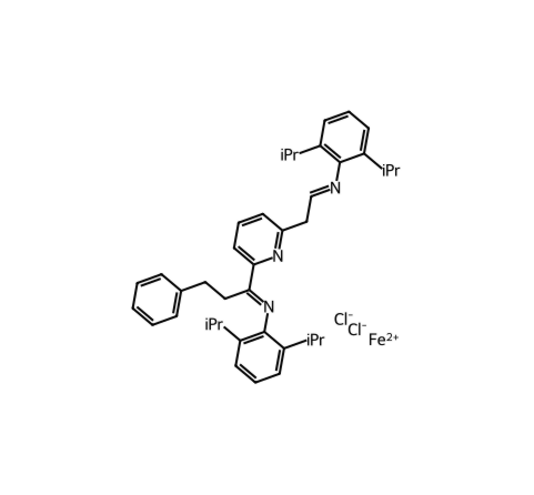 CC(C)c1cccc(C(C)C)c1N=CCc1cccc(C(CCc2ccccc2)=Nc2c(C(C)C)cccc2C(C)C)n1.[Cl-].[Cl-].[Fe+2]